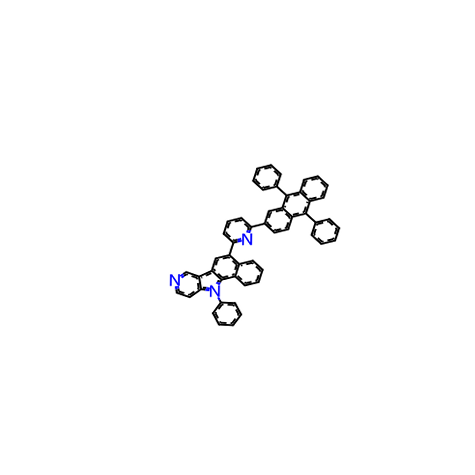 c1ccc(-c2c3ccccc3c(-c3ccccc3)c3cc(-c4cccc(-c5cc6c7cnccc7n(-c7ccccc7)c6c6ccccc56)n4)ccc23)cc1